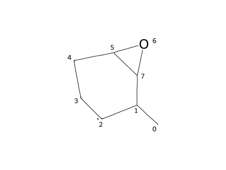 CC1[CH]CCC2OC12